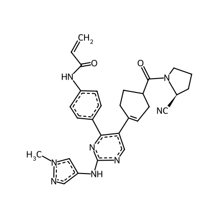 C=CC(=O)Nc1ccc(-c2nc(Nc3cnn(C)c3)ncc2C2=CCC(C(=O)N3CCC[C@H]3C#N)CC2)cc1